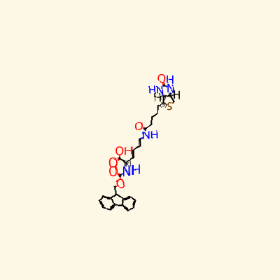 O=C(CCCC[C@@H]1SC[C@@H]2NC(=O)N[C@@H]21)NCCCC[C@@H](NC(=O)OCC1c2ccccc2-c2ccccc21)C(=O)O